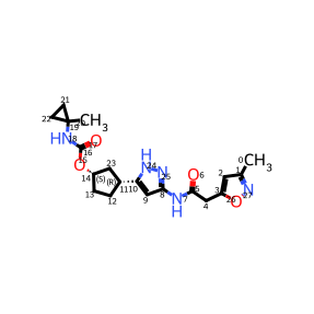 Cc1cc(CC(=O)Nc2cc([C@@H]3CC[C@H](OC(=O)NC4(C)CC4)C3)[nH]n2)on1